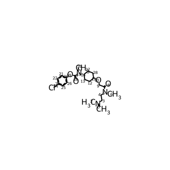 CN(C)CCN(C)C(=O)CO[C@H]1CC[C@H](N(C)C(=O)Oc2ccc(Cl)cc2)CC1